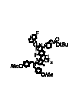 COc1ccc(CN(Cc2ccc(OC)cc2)c2cc(C)c(C(F)(F)F)c(-c3c(Cl)cc4c(N5CCC6C(C5)CN6C(=O)OC(C)(C)C)nc(OC[C@]56CCCN5C[C@H](F)C6)nc4c3F)n2)cc1